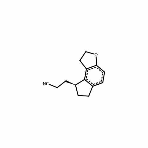 N#CCC[C@@H]1CCc2ccc3c(c21)CCO3